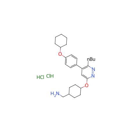 CCCCc1nnc(OC2CCC(CN)CC2)cc1-c1ccc(OC2CCCCC2)cc1.Cl.Cl